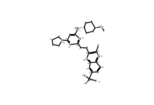 CO[C@H]1CC[C@H](Nc2cc(N3CCCC3)nc(CCc3nc4cc(C(F)(F)F)ccc4nc3C)n2)CC1